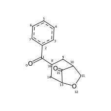 O=C(c1ccccc1)C1CC2COC(C1)C2=O